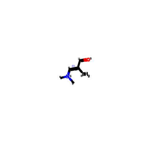 B/C(C=O)=C\N(C)C